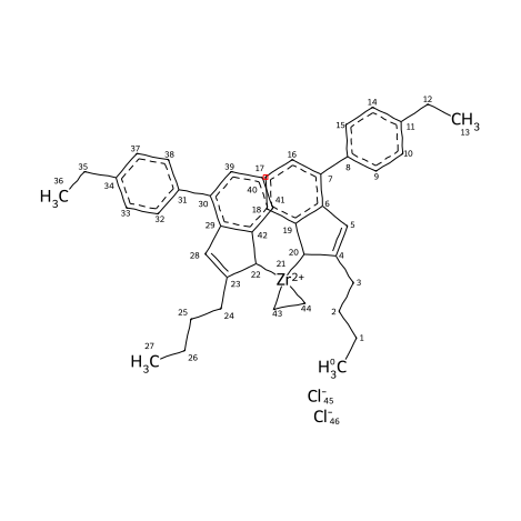 CCCCC1=Cc2c(-c3ccc(CC)cc3)cccc2[CH]1[Zr+2]1([CH]2C(CCCC)=Cc3c(-c4ccc(CC)cc4)cccc32)[CH2][CH2]1.[Cl-].[Cl-]